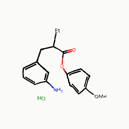 CCC(Cc1cccc(N)c1)C(=O)Oc1ccc(OC)cc1.Cl